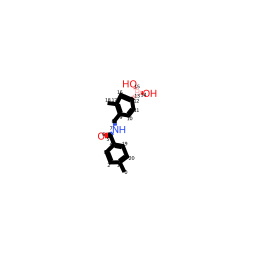 Cc1ccc(C(=O)NCc2ccc(B(O)O)cc2C)cc1